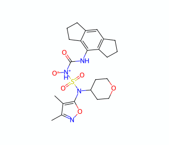 Cc1noc(N(C2CCOCC2)S(=O)(=O)[NH+]([O-])C(=O)Nc2c3c(cc4c2CCC4)CCC3)c1C